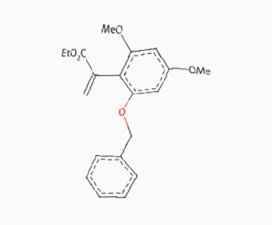 C=C(C(=O)OCC)c1c(OC)cc(OC)cc1OCc1ccccc1